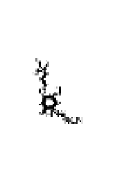 Cc1cc(OCCC[Si](C)(C)C)c(Cl)cc1N/C=N/C#N